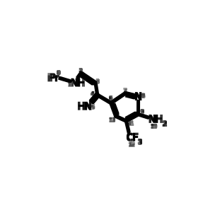 CC(C)N/C=C\C(=N)c1cnc(N)c(C(F)(F)F)c1